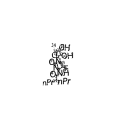 CCCC(CCC)C(=O)Nc1nc(=O)n([C@@H]2O[C@H](C)[C@@H](O)[C@H]2O)cc1F